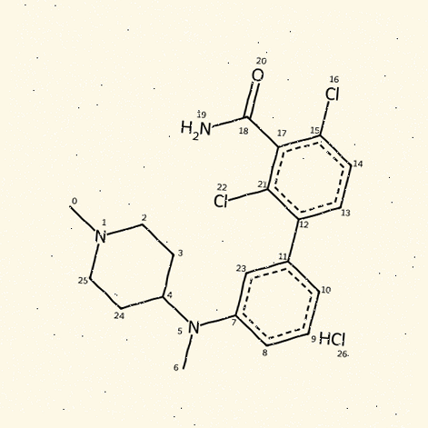 CN1CCC(N(C)c2cccc(-c3ccc(Cl)c(C(N)=O)c3Cl)c2)CC1.Cl